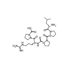 CC(C)C[C@H](N)C(=O)N1CCC[C@H]1C(=O)N1CCC[C@H]1C(=O)N[C@@H](CCCNC(=N)N)C(=O)N1CCC[C@H]1C(=O)O